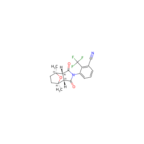 C[C@]12CC[C@](C)(O1)[C@@H]1C(=O)N(c3cccc(C#N)c3C(F)(F)F)C(=O)[C@@H]12